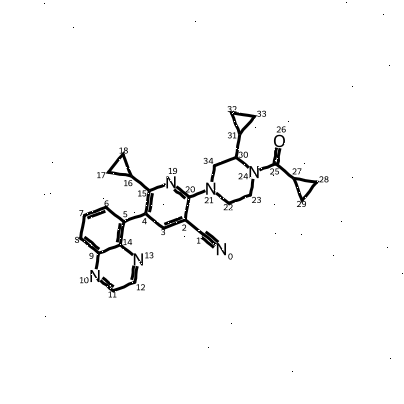 N#Cc1cc(-c2cccc3nccnc23)c(C2CC2)nc1N1CCN(C(=O)C2CC2)C(C2CC2)C1